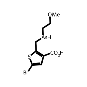 COCC[AsH]Cc1sc(Br)cc1C(=O)O